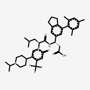 Cc1cc(C)c(-c2cc([C@H](CC(=O)O)NC(=O)[C@H](CC(C)C)n3cc(C4CCN(C(C)C)CC4)c(C(F)(F)F)cc3=O)cc3c2CCC3)c(C)c1